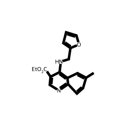 CCOC(=O)c1cnc2ccc(C)cc2c1NCc1ccco1